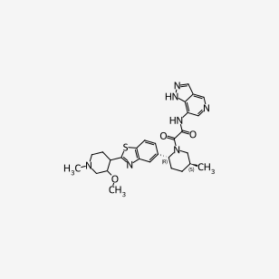 COC1CN(C)CCC1c1nc2cc([C@H]3CC[C@H](C)CN3C(=O)C(=O)Nc3cncc4cn[nH]c34)ccc2s1